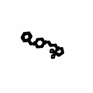 O=S1(=O)CCCN1CCCN1CCN(Cc2ccccc2)CC1